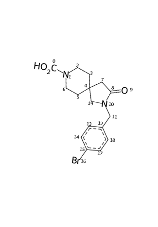 O=C(O)N1CCC2(CC1)CC(=O)N(Cc1ccc(Br)cc1)C2